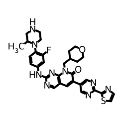 CC1CNCCN1c1ccc(Nc2ncc3cc(-c4cnc(-c5nccs5)nc4)c(=O)n(CC4CCOCC4)c3n2)cc1F